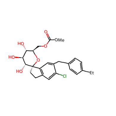 CCc1ccc(Cc2cc3c(cc2Cl)CC[C@]32O[C@H](COC(=O)OC)[C@@H](O)[C@H](O)[C@H]2O)cc1